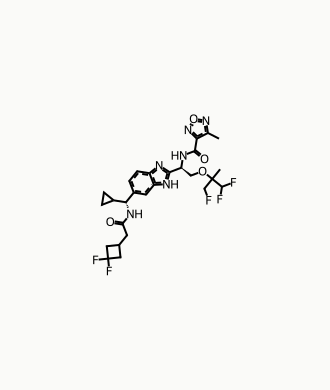 Cc1nonc1C(=O)N[C@@H](COC(C)(CF)C(F)F)c1nc2ccc([C@H](NC(=O)CC3CC(F)(F)C3)C3CC3)cc2[nH]1